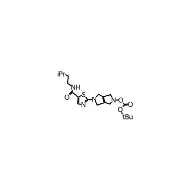 CC(C)CCNC(=O)c1cnc(N2CC3=C(CN(OC(=O)OC(C)(C)C)C3)C2)s1